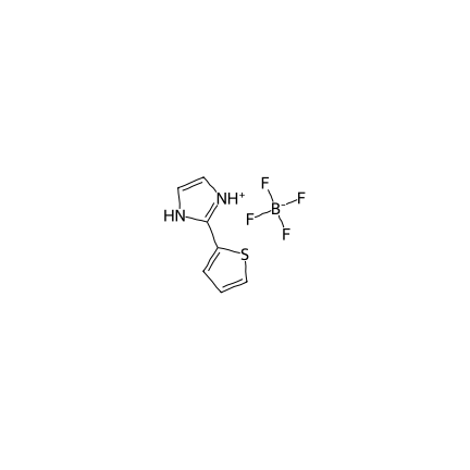 F[B-](F)(F)F.c1csc(-c2[nH]cc[nH+]2)c1